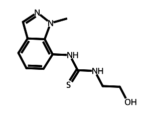 Cn1ncc2cccc(NC(=S)NCCO)c21